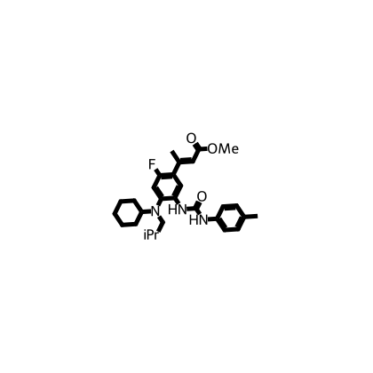 COC(=O)/C=C(\C)c1cc(NC(=O)Nc2ccc(C)cc2)c(N(CC(C)C)C2CCCCC2)cc1F